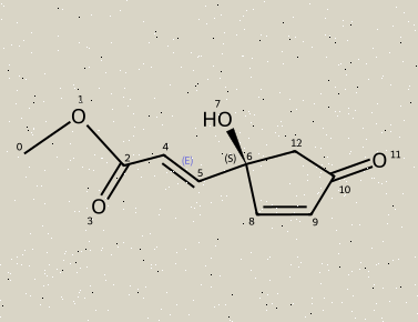 COC(=O)/C=C/[C@@]1(O)C=CC(=O)C1